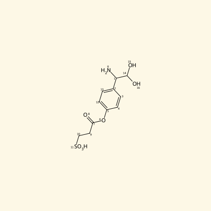 NC(c1ccc(OC(=O)CCS(=O)(=O)O)cc1)C(O)O